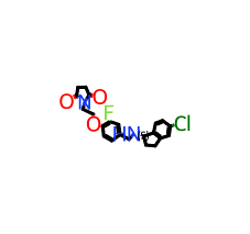 O=C1CCC(=O)N1CCOc1ccc(CN[C@H]2CCc3cc(Cl)ccc32)cc1F